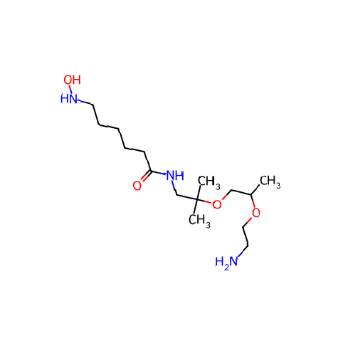 CC(COC(C)(C)CNC(=O)CCCCCNO)OCCN